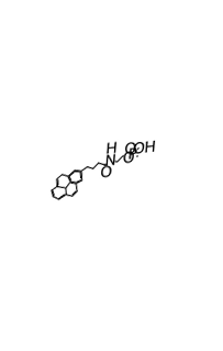 CP(=O)(O)OCCNC(=O)CCCc1cc2c3c(c1)CC=C1C=CC=C(C=C2)C13